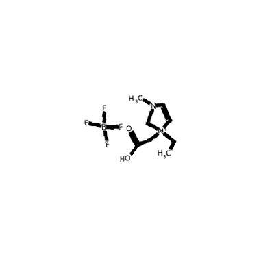 CC[N+]1(CC(=O)O)C=CN(C)C1.F[B-](F)(F)F